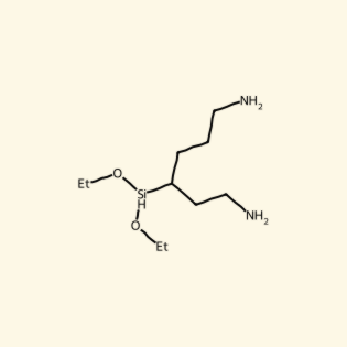 CCO[SiH](OCC)C(CCN)CCCN